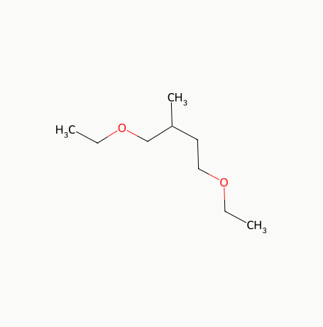 CCOCCC(C)COCC